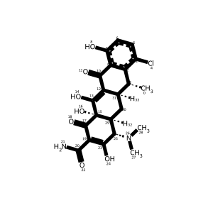 C[C@H]1c2c(Cl)ccc(O)c2C(=O)C2=C(O)[C@]3(O)C(=O)C(C(N)=O)=C(O)[C@@H](N(C)C)[C@@H]3C[C@@H]21